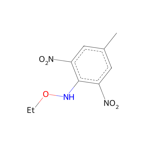 CCONc1c([N+](=O)[O-])cc(C)cc1[N+](=O)[O-]